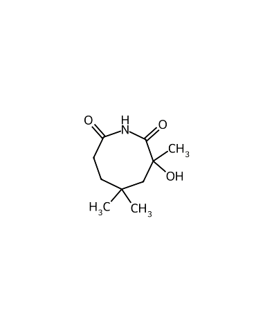 CC1(C)CCC(=O)NC(=O)C(C)(O)C1